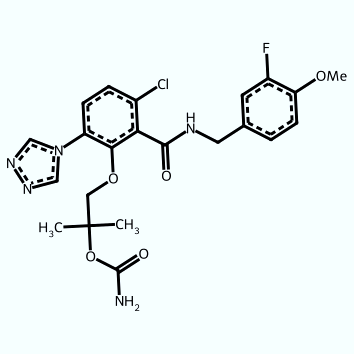 COc1ccc(CNC(=O)c2c(Cl)ccc(-n3cnnc3)c2OCC(C)(C)OC(N)=O)cc1F